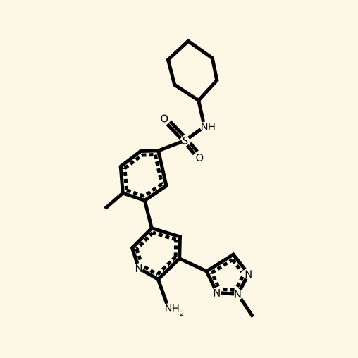 Cc1ccc(S(=O)(=O)NC2CCCCC2)cc1-c1cnc(N)c(-c2cnn(C)n2)c1